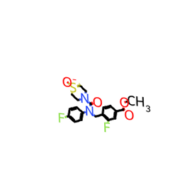 COC(=O)c1ccc(CN(C(=O)N2CC[S+]([O-])CC2)c2ccc(F)cc2)c(F)c1